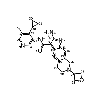 Cc1cncc(NC(=O)c2c(N)nn3cc4c(nc23)CCN(C2COC2)C4)c1C1CC1